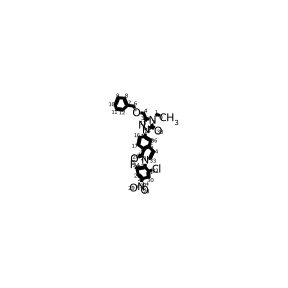 CCn1c(COCc2ccccc2)nn(-c2ccc3c(=O)n(-c4c(F)cc([N+](=O)[O-])cc4Cl)ccc3c2)c1=O